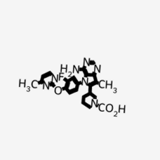 Cc1ccnc(Oc2ccc(-n3c(C4CCCN(C(=O)O)C4)c(C)c4ncnc(N)c43)cc2F)n1